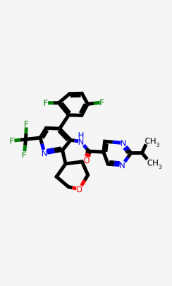 CC(C)c1ncc(C(=O)Nc2c(-c3cc(F)ccc3F)cc(C(F)(F)F)nc2C2CCOCC2)cn1